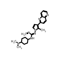 C=N/C(=N\n1ccc(-c2ccc3ncccc3n2)c1C)NC1CCC(N(C)C)CC1